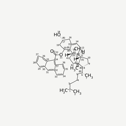 CC(C)CCC[C@@H](C)[C@H]1CC[C@H]2[C@@H]3CC=C4C[C@@H](O)CC(OC(=O)c5c6ccccc6cc6ccccc56)[C@]4(C)[C@H]3CC[C@]12C